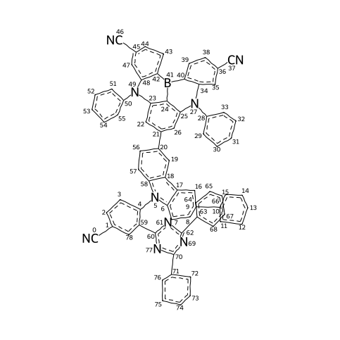 N#Cc1ccc(-n2c3ccc(-c4ccccc4)cc3c3cc(-c4cc5c6c(c4)N(c4ccccc4)c4cc(C#N)ccc4B6c4ccc(C#N)cc4N5c4ccccc4)ccc32)c(-c2nc(-c3ccccc3)nc(-c3ccccc3)n2)c1